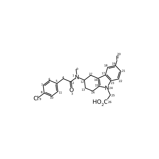 CN(C(=O)Cc1ccc(Cl)cc1)C1CCc2c(c3cc(F)ccc3n2CC(=O)O)C1